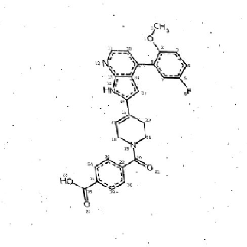 COc1ccc(F)cc1-c1ccnc2[nH]c(C3=CCN(C(=O)c4ccc(C(=O)O)cc4)CC3)cc12